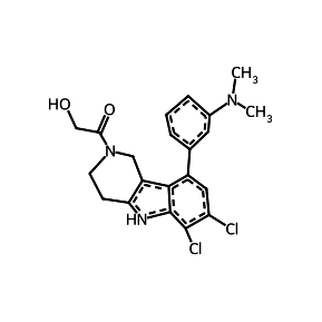 CN(C)c1cccc(-c2cc(Cl)c(Cl)c3[nH]c4c(c23)CN(C(=O)CO)CC4)c1